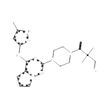 Cc1cc(Nc2nc(N3CCN(C(=O)C(C)(C)CO)CC3)nn3cccc23)n[nH]1